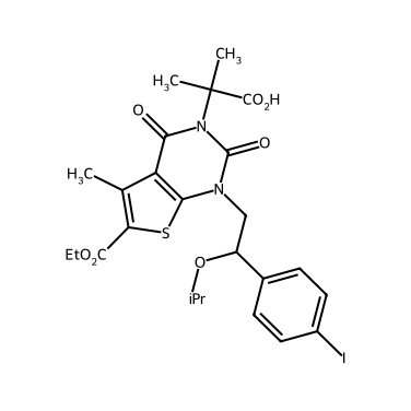 CCOC(=O)c1sc2c(c1C)c(=O)n(C(C)(C)C(=O)O)c(=O)n2CC(OC(C)C)c1ccc(I)cc1